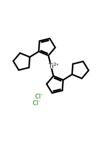 C1=CC(C2CCCC2)=[C]([Ti+2][C]2=C(C3CCCC3)C=CC2)C1.[Cl-].[Cl-]